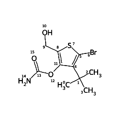 CC(C)(C)c1c(Br)sc(CO)c1OC(N)=O